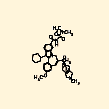 COc1ccc2c(c1)C=C(C(=O)N1CC34CN(C)CC3(CN(C)C4)C1)Cn1c-2c(C2CCCCC2)c2ccc(C(=O)NS(=O)(=O)N(C)C)cc21